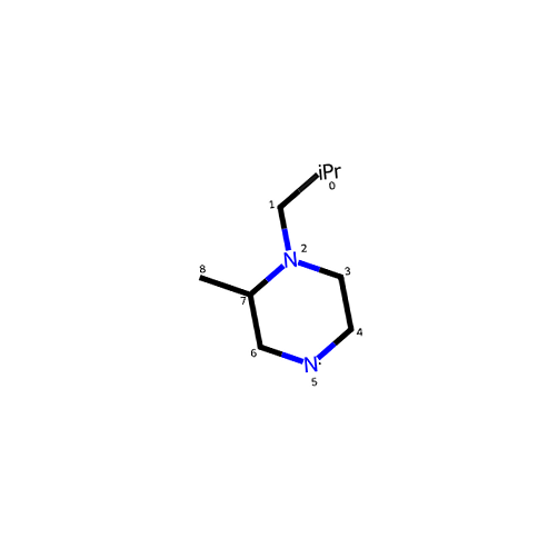 CC(C)CN1CC[N]CC1C